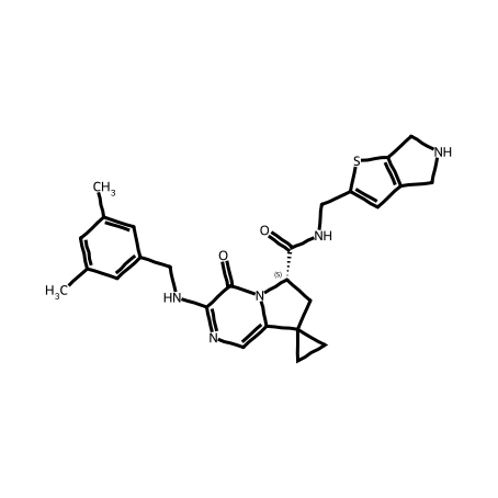 Cc1cc(C)cc(CNc2ncc3n(c2=O)[C@H](C(=O)NCc2cc4c(s2)CNC4)CC32CC2)c1